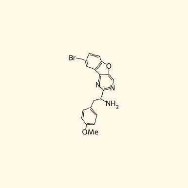 COc1ccc(CC(N)c2ncc3oc4ccc(Br)cc4c3n2)cc1